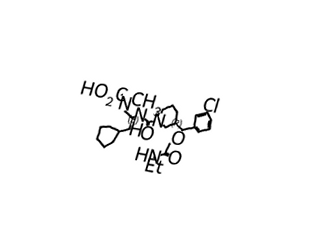 CCNC(=O)COC(c1cccc(Cl)c1)[C@@H]1CCCN(C(=O)N[C@@H](CC2CCCCC2)CN(C)C(=O)O)C1